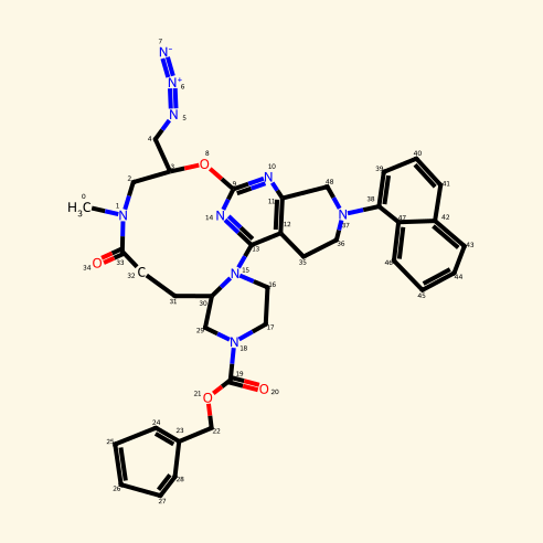 CN1CC(CN=[N+]=[N-])Oc2nc3c(c(n2)N2CCN(C(=O)OCc4ccccc4)CC2CCC1=O)CCN(c1cccc2ccccc12)C3